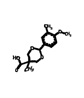 COc1ccc(C2OCC(C)(C(=O)O)CO2)cc1C